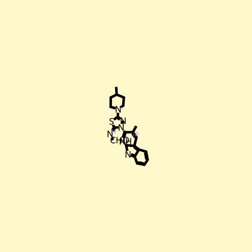 C/C(=C/C1=c2ccccc2=NC1)C(=N)n1nc(N2CCC(C)CC2)s/c1=N/C=O